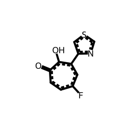 O=c1ccc(F)cc(-c2cscn2)c1O